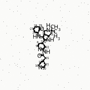 CC1(C)Cc2[nH]c(-c3ccnc(NC(=O)Cc4ccncc4)c3)c(Nc3ccccc3)c2C(=O)N1